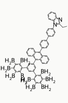 Bc1c(B)c(B)c(-c2cc(-c3c(B)c(B)c(B)c(B)c3B)cc(-c3c4ccccc4c(-c4ccc(-c5ccc(-n6c(CC)nc7ccccc76)cc5)cc4)c4ccccc34)c2)c(B)c1B